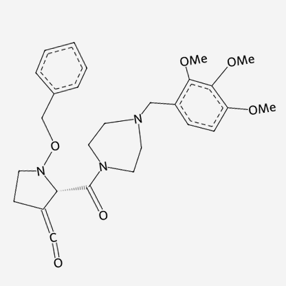 COc1ccc(CN2CCN(C(=O)[C@@H]3C(=C=O)CCN3OCc3ccccc3)CC2)c(OC)c1OC